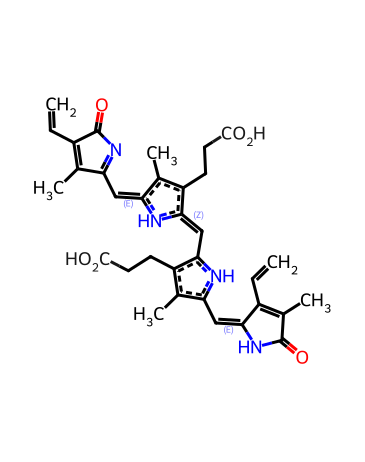 C=CC1=C(C)C(/C=c2/[nH]/c(=C\c3[nH]c(/C=C4/NC(=O)C(C)=C4C=C)c(C)c3CCC(=O)O)c(CCC(=O)O)c2C)=NC1=O